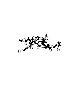 CCOC(=O)C(C)C(CC(C)(CC(CC(CC(C)(CC(C)(C)C(=O)OCCNC(C)(C)C)C(=O)OC)C(=O)O)N1CCCC1=O)C(=O)OCCCO)C(C)=O